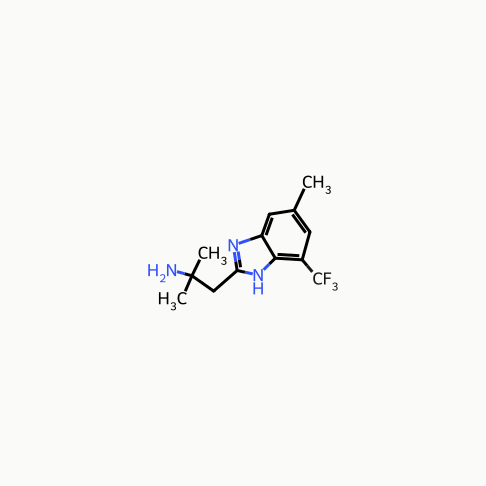 Cc1cc(C(F)(F)F)c2[nH]c(CC(C)(C)N)nc2c1